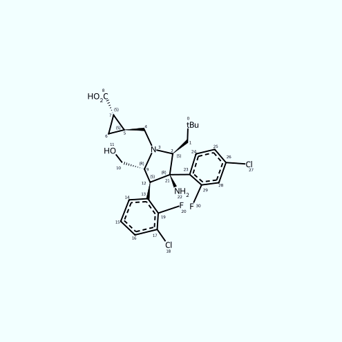 CC(C)(C)C[C@@H]1N(C[C@H]2C[C@@H]2C(=O)O)[C@@H](CO)[C@H](c2cccc(Cl)c2F)[C@@]1(N)c1ccc(Cl)cc1F